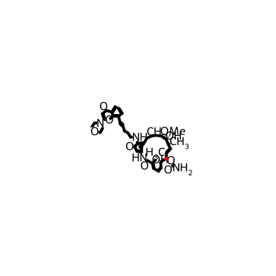 CO[C@H]1C[C@H](C)CC2=C(NCCCC#Cc3cccc4c(=O)cc(N5CCOCC5)oc34)C(=O)C=C(NC(=O)C3=CC=C[C@H](O3)[C@@H](OC(N)=O)/C(C)=C/[C@H](C)[C@H]1O)C2=O